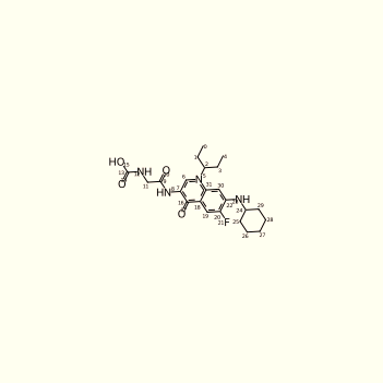 CCC(CC)n1cc(NC(=O)CNC(=O)O)c(=O)c2cc(F)c(NC3CCCCC3)cc21